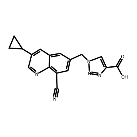 N#Cc1cc(Cn2cc(C(=O)O)nn2)cc2cc(C3CC3)cnc12